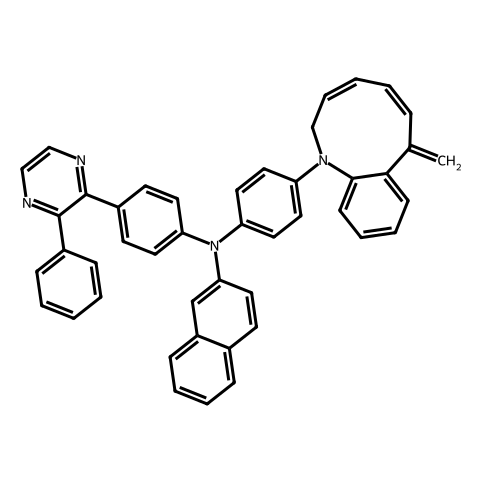 C=C1/C=C\C=C/CN(c2ccc(N(c3ccc(-c4nccnc4-c4ccccc4)cc3)c3ccc4ccccc4c3)cc2)c2ccccc21